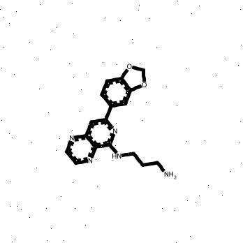 NCCCNc1nc(-c2ccc3c(c2)OCO3)cc2nccnc12